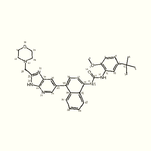 COc1ccc(C(C)(C)C)cc1NC(=O)Nc1ccc(-c2cnc3[nH]c(CN4CCOCC4)nc3c2)c2ccccc12